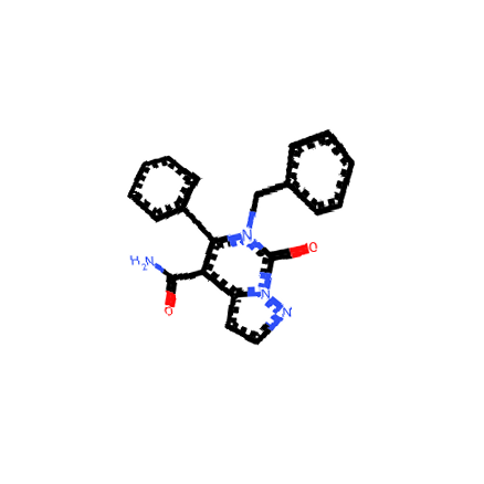 NC(=O)c1c(-c2ccccc2)n(Cc2ccccc2)c(=O)n2nccc12